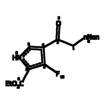 CCCCCCCCCCC(=O)c1c[nH]c(C(=O)OCC)c1F